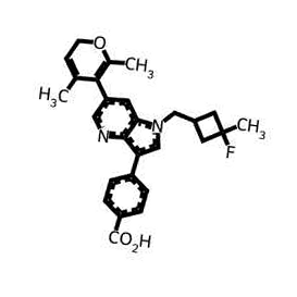 CC1=CCOC(C)=C1c1cnc2c(-c3ccc(C(=O)O)cc3)cn(CC3CC(C)(F)C3)c2c1